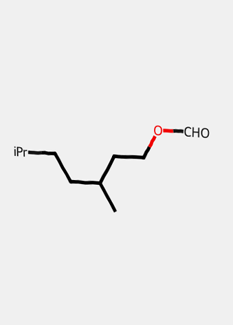 CC(C)CCC(C)CCOC=O